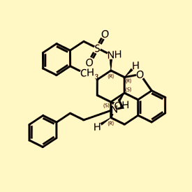 Cc1ccccc1CS(=O)(=O)N[C@@H]1CC[C@@]2(O)[C@H]3Cc4cccc5c4[C@@]2(CCN3CCc2ccccc2)[C@H]1O5